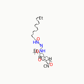 CC/C=C\C/C=C\C/C=C\C/C=C\C/C=C\C/C=C\CCC(=O)NCCN(C)CCNC(=O)[C@@]1(CCC(C)(C)CC)CC[C@]2(C)[C@@H](C1)C(=O)C=C1[C@@]3(C)C=C(C#N)C(=O)C(C)(C)[C@@H]3CC[C@]12C